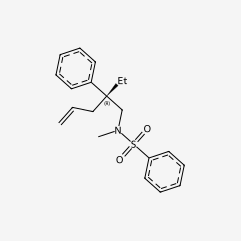 C=CC[C@@](CC)(CN(C)S(=O)(=O)c1ccccc1)c1ccccc1